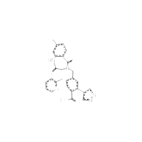 O=C(O)c1ccc(CN2C(=O)c3ccc(Cl)cc3NC(=O)[C@H]2Cc2ccccn2)cc1-c1cn[nH]c1